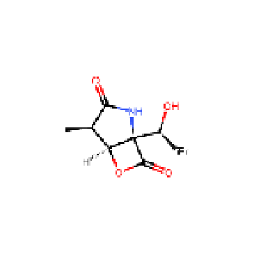 CC(C)[C@H](O)[C@@]12NC(=O)[C@H](C)[C@@H]1OC2=O